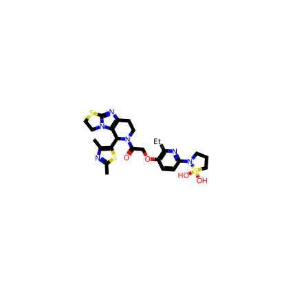 CCc1nc(N2CCCS2(O)O)ccc1OCC(=O)N1CCc2nc3n(c2C1c1sc(C)nc1C)CCS3